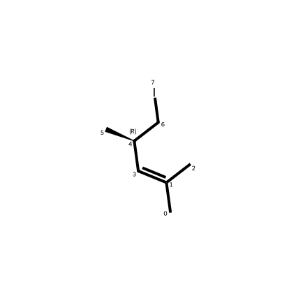 CC(C)=C[C@@H](C)CI